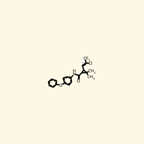 CC1(C)C(/C=C(\Cl)C(F)(F)F)C1C(=O)Nc1ccc(Oc2ccccc2)cc1